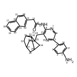 Nc1ccc(-c2cnc(NC(=O)Cc3ccc4ccccc4c3)c(CC34CC5CC(CC(C5)C3)C4)n2)cc1